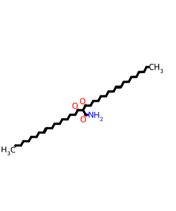 CCCCCCCCC=CCCCCCCCC(=O)C(C(N)=O)C(=O)CCCCCCCC=CCCCCCCCC